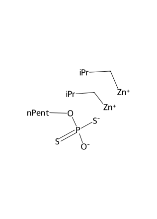 CC(C)[CH2][Zn+].CC(C)[CH2][Zn+].CCCCCOP([O-])(=S)[S-]